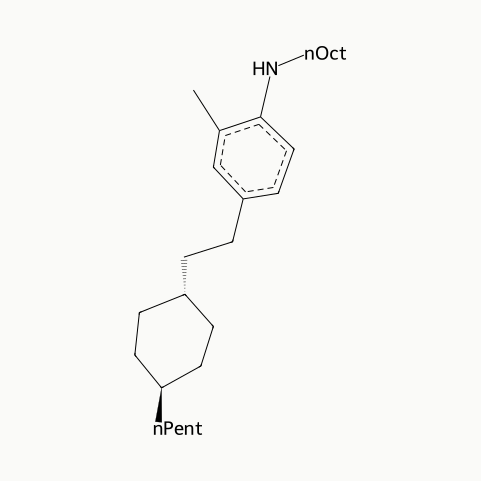 CCCCCCCCNc1ccc(CC[C@H]2CC[C@H](CCCCC)CC2)cc1C